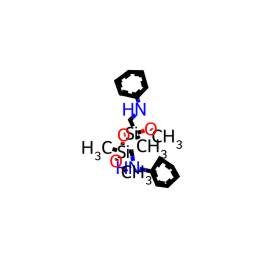 CO[Si](C)(CNc1ccccc1)O[Si](C)(CNc1ccccc1)OC